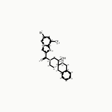 O=C(c1cn2cc(Br)cc(C(F)(F)F)c2n1)N1CC[C@]2(Cc3ccccc3CN2)[C@H](O)C1